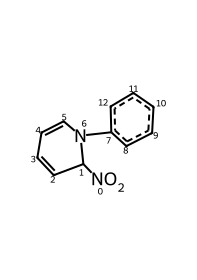 O=[N+]([O-])C1C=CC=CN1c1ccccc1